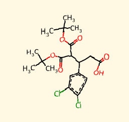 CC(C)(C)OC(=O)C(C(=O)OC(C)(C)C)C(CC(=O)O)c1ccc(Cl)c(Cl)c1